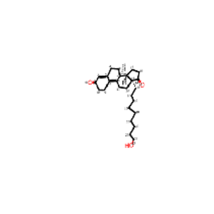 O=C1C=C2CC[C@@H]3C(=C2CC1)CC[C@]1(CCCCCCCCCO)C(=O)CC[C@@H]31